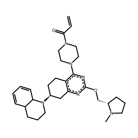 C=CC(=O)N1CCN(c2nc(OC[C@@H]3CCCN3C)nc3c2CC[C@H](N2CCCC4C=CC=CC42)C3)CC1